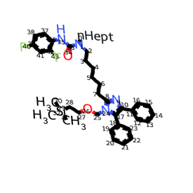 CCCCCCCN(CCCCCCc1nc(-c2ccccc2)c(-c2ccccc2)n1COCC[Si](C)(C)C)C(=O)Nc1ccc(F)cc1F